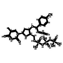 Cc1cn([C@H]2CC(OC(N=[N+]=[N-])c3ccc(C#N)cc3)[C@@H](COP(=O)(O)OP(=O)(O)OP(=O)(O)O)O2)c(=O)[nH]c1=O